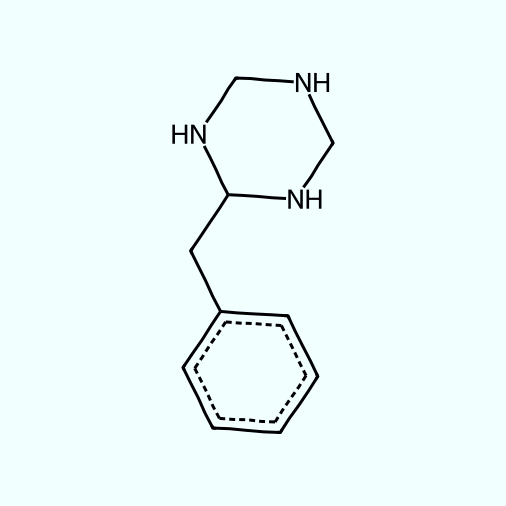 c1ccc(CC2NCNCN2)cc1